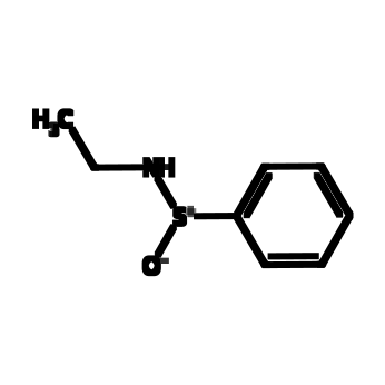 CCN[S+]([O-])c1ccccc1